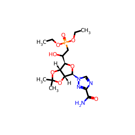 CCOP(=O)(CC(O)[C@H]1O[C@@H](n2cnc(C(N)=O)n2)[C@@H]2OC(C)(C)O[C@@H]21)OCC